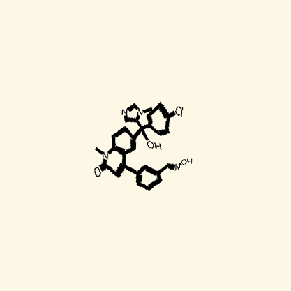 Cn1cncc1C(O)(c1ccc(Cl)cc1)c1ccc2c(c1)c(-c1cccc(/C=N/O)c1)cc(=O)n2C